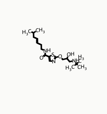 CC(C)C/C=C/CCNC(=O)c1cnc(OCC(O)CNC(C)(C)C)s1